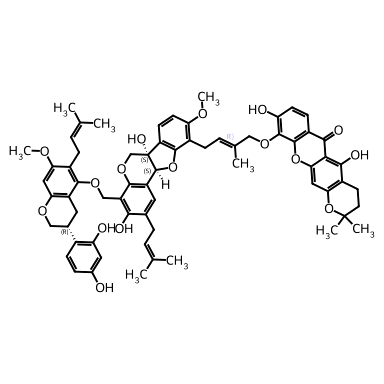 COc1ccc2c(c1C/C=C(\C)COc1c(O)ccc3c(=O)c4c(O)c5c(cc4oc13)OC(C)(C)CC5)O[C@H]1c3cc(CC=C(C)C)c(O)c(COc4c(CC=C(C)C)c(OC)cc5c4C[C@H](c4ccc(O)cc4O)CO5)c3OC[C@@]21O